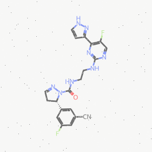 N#Cc1cc(F)cc([C@@H]2CC=NN2C(=O)NCCNc2ncc(F)c(-c3cc[nH]n3)n2)c1